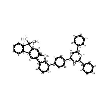 CC1(C)c2ccccc2-c2cc3c(cc21)oc1c(-c2ccc(-c4nc(-c5ccccc5)nc(-c5ccccc5)n4)cc2)cccc13